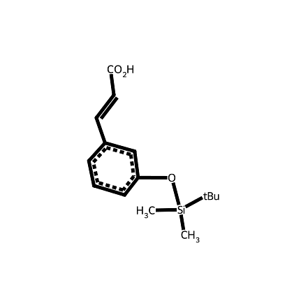 CC(C)(C)[Si](C)(C)Oc1cccc(C=CC(=O)O)c1